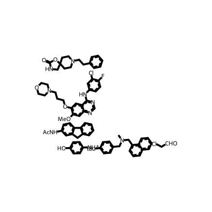 CC(=O)Nc1ccc(O)cc1.CC(=O)Nc1ccc2c(c1)Cc1ccccc1-2.CN(Cc1ccc(C(C)(C)C)cc1)Cc1cccc2ccccc12.COc1cc2ncnc(Nc3ccc(F)c(Cl)c3)c2cc1OCCCN1CCOCC1.O=C1NCC2(CCN(CCc3ccccc3)CC2)O1.O=CCCl